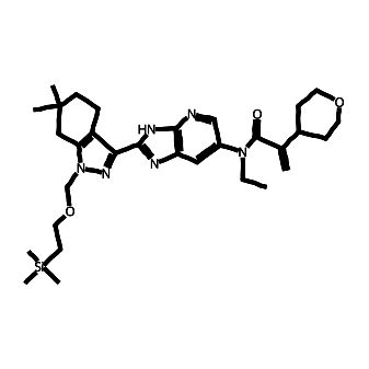 C=C(C(=O)N(CC)c1cnc2[nH]c(-c3nn(COCC[Si](C)(C)C)c4c3CCC(C)(C)C4)nc2c1)C1CCOCC1